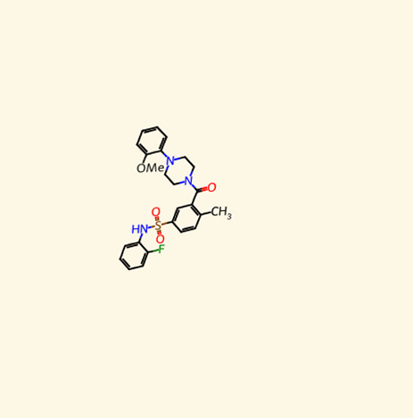 COc1ccccc1N1CCN(C(=O)c2cc(S(=O)(=O)Nc3ccccc3F)ccc2C)CC1